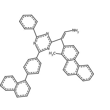 Cc1c(/C(=C\N)c2nc(-c3ccccc3)nc(-c3ccc(-c4cccc5ccccc45)cc3)n2)ccc2c1ccc1ccccc12